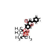 CC(C)OP(=O)(Oc1ccc2c(=O)cc(-c3ccccc3)oc2c1)OC(C)C